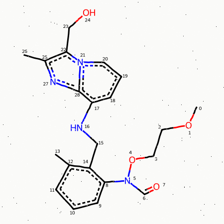 COCCON(C=O)c1cccc(C)c1CNc1cccn2c(CO)c(C)nc12